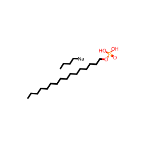 CCCCCCCCCCCCCCCCOP(=O)(O)O.CCC[CH2][Na]